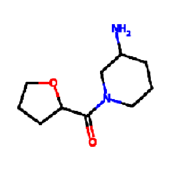 NC1CCCN(C(=O)C2CCCO2)C1